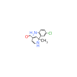 CC1(c2cc(Cl)ccc2N)C=C(C=O)C=CN1